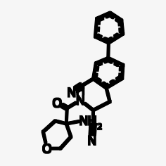 N#Cc1cc(-c2ccccc2)ccc1CC(C#N)NC(=O)C1(N)CCOCC1